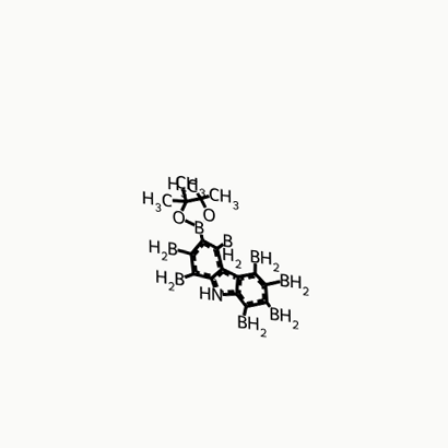 Bc1c(B)c(B)c2c([nH]c3c(B)c(B)c(B4OC(C)(C)C(C)(C)O4)c(B)c32)c1B